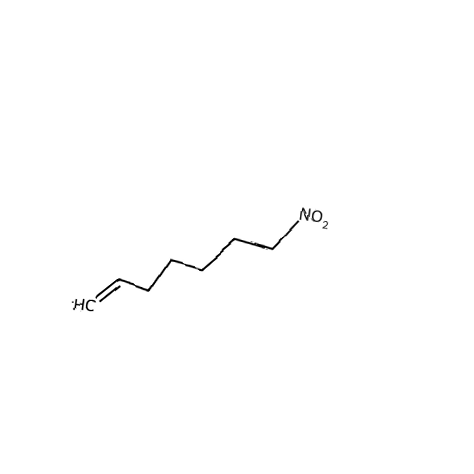 [CH]=CCCCCC[N+](=O)[O-]